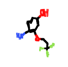 Nc1ccc(O)cc1OCC(F)(F)F